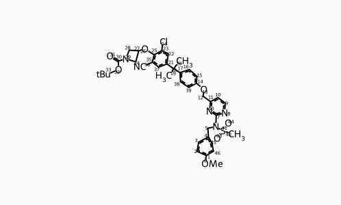 COc1ccc(CN(c2nccc(COc3ccc(C(C)(C)c4cc(Cl)c(OC5CN(C(=O)OC(C)(C)C)C5)c(C#N)c4)cc3)n2)S(C)(=O)=O)cc1